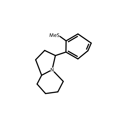 CSc1ccccc1C1CCC2CCCCN21